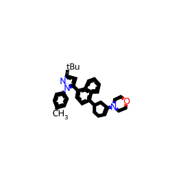 Cc1ccc(-n2nc(C(C)(C)C)cc2-c2ccc(C3CCC=C(N4CCOCC4)C3)c3ccccc23)cc1